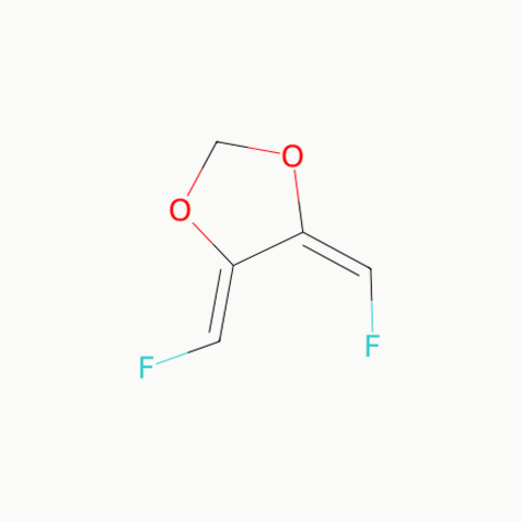 FC=C1OCOC1=CF